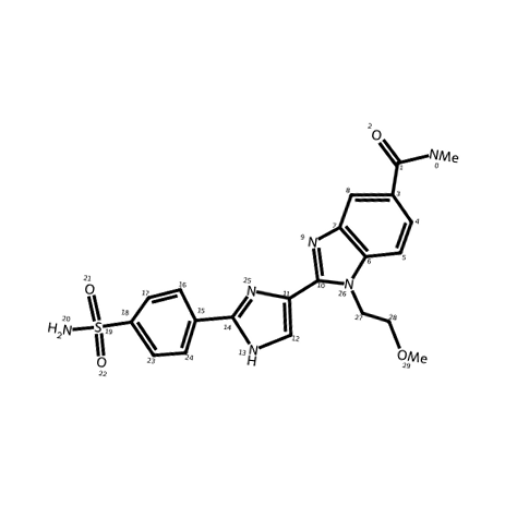 CNC(=O)c1ccc2c(c1)nc(-c1c[nH]c(-c3ccc(S(N)(=O)=O)cc3)n1)n2CCOC